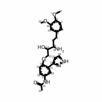 COc1ccc(CCC(N)C(O)COc2ccc(NC(C)=O)cc2-c2cc[nH]n2)cc1OC